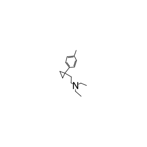 CCN(CC)CCC1(c2ccc(C)cc2)CC1